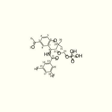 CC(=O)c1ccc2c(c1)[C@H](NC(=O)c1cc(F)cc(F)c1)[C@@H](OCOP(=O)(O)O)C(C)(C)O2